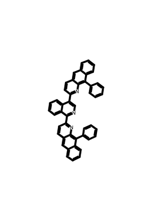 c1ccc(-c2c3ccccc3cc3ccc(-c4cnc(-c5ccc6cc7ccccc7c(-c7ccccc7)c6n5)c5ccccc45)nc23)cc1